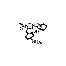 C=CC(=O)N1CCN(c2cn3ccccc3n2)C(O)[C@H]1Cc1ccc(NC(C)=O)cc1